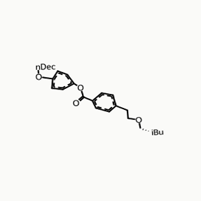 CCCCCCCCCCOc1ccc(OC(=O)c2ccc(CCOC[C@@H](C)CC)cc2)cc1